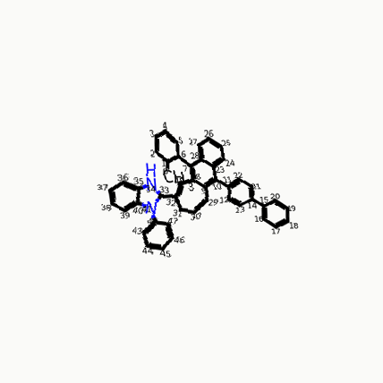 CC1C=CC=CC1c1c2c(c(-c3ccc(-c4ccccc4)cc3)c3ccccc13)C=CCC(C1Nc3ccccc3N1c1ccccc1)=C2